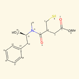 COC(=O)CC(CS)C(=O)N(C)[C@@H](Cc1ccccc1)C(=O)O